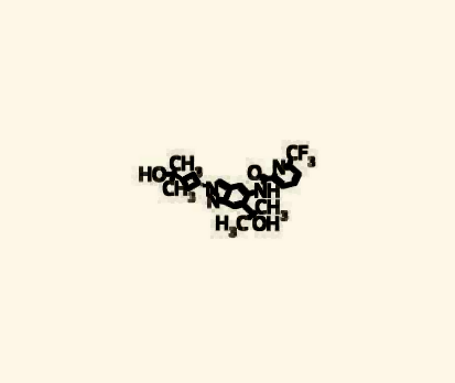 CC(C)(O)c1cc2nn([C@H]3C[C@H](C(C)(C)O)C3)cc2cc1NC(=O)c1cccc(C(F)(F)F)n1